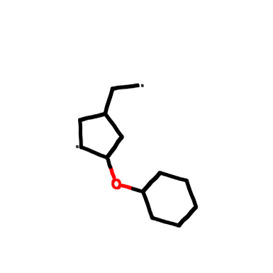 [CH2]CC1C[CH]C(OC2CCCCC2)C1